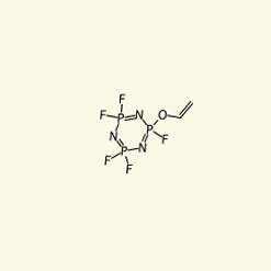 C=COP1(F)=NP(F)(F)=NP(F)(F)=N1